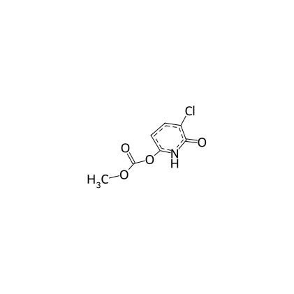 COC(=O)Oc1ccc(Cl)c(=O)[nH]1